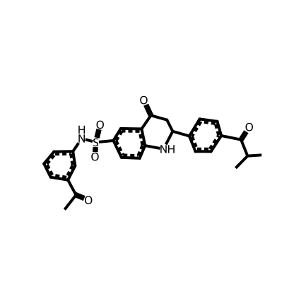 CC(=O)c1cccc(NS(=O)(=O)c2ccc3c(c2)C(=O)CC(c2ccc(C(=O)C(C)C)cc2)N3)c1